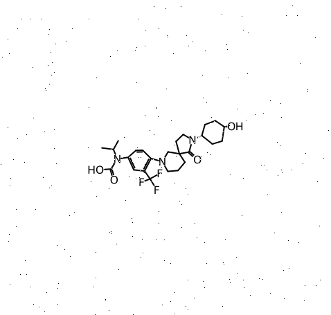 CC(C)N(C(=O)O)c1ccc(N2CCCC3(CCN([C@H]4CC[C@H](O)CC4)C3=O)C2)c(C(F)(F)F)c1